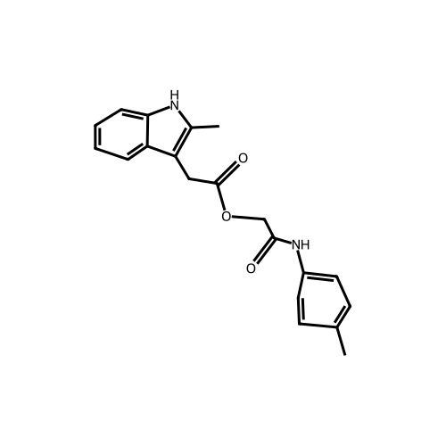 Cc1ccc(NC(=O)COC(=O)Cc2c(C)[nH]c3ccccc23)cc1